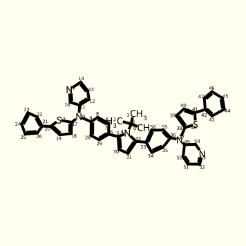 CC(C)(C)n1c(-c2ccc(N(c3cccnc3)c3ccc(-c4ccccc4)s3)cc2)ccc1-c1ccc(N(c2ccc(-c3ccccc3)s2)C2C=CC=NC2)cc1